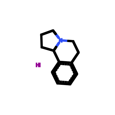 I.c1ccc2c(c1)CCN1CCCC21